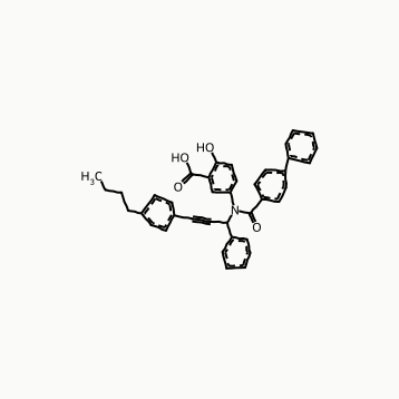 CCCCc1ccc(C#CC(c2ccccc2)N(C(=O)c2ccc(-c3ccccc3)cc2)c2ccc(O)c(C(=O)O)c2)cc1